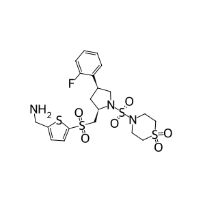 NCc1ccc(S(=O)(=O)C[C@H]2C[C@@H](c3ccccc3F)CN2S(=O)(=O)N2CCS(=O)(=O)CC2)s1